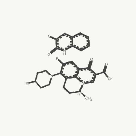 C[C@H]1CCc2c(N3CCC(O)CC3)c(F)cc3c(=O)c(C(=O)O)cn1c23.O=c1[nH]c2ccccc2cc1F